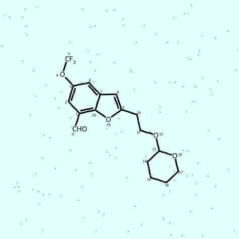 O=Cc1cc(OC(F)(F)F)cc2cc(CCOC3CCCCO3)oc12